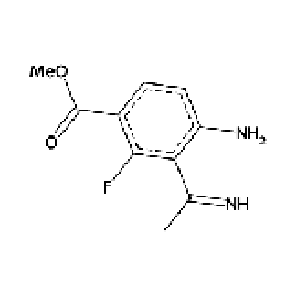 COC(=O)c1ccc(N)c(C(C)=N)c1F